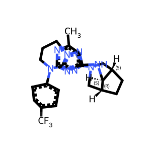 Cc1cc(N2C[C@H]3CC[C@@H](C2)[C@@H]3Nc2nc3n(n2)CCCN3c2ccc(C(F)(F)F)cc2)ncn1